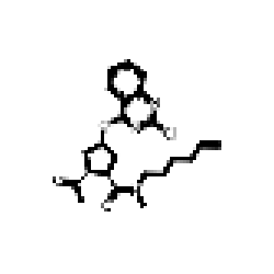 C=CCCCCN(C)C(=O)[C@@H]1C[C@H](Oc2nc(Cl)nc3ccccc23)C[C@H]1C(C)=O